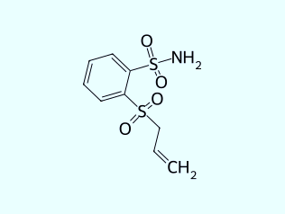 C=CCS(=O)(=O)c1ccccc1S(N)(=O)=O